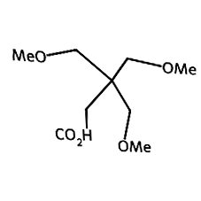 COCC(COC)(COC)CC(=O)O